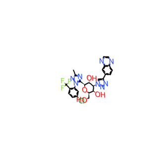 Cc1nc([C@@H]2O[C@H](CO)[C@H](O)[C@H](n3cc(-c4ccc5nccnc5c4)nn3)[C@H]2O)n(-c2cc(Cl)ccc2C(F)(F)F)n1